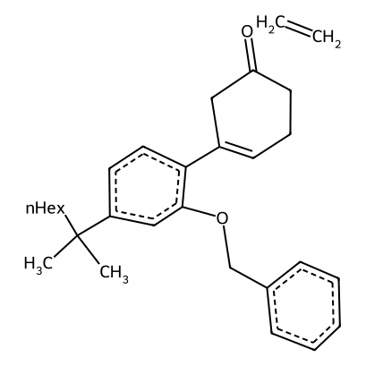 C=C.CCCCCCC(C)(C)c1ccc(C2=CCCC(=O)C2)c(OCc2ccccc2)c1